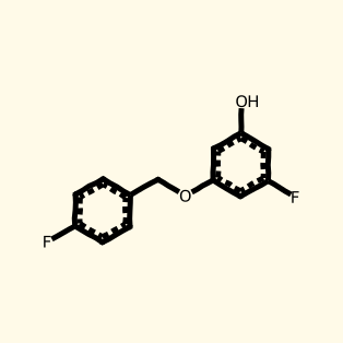 Oc1cc(F)cc(OCc2ccc(F)cc2)c1